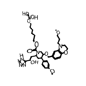 COCCCN1CCOc2ccc(COC3CN(C(=O)OCCCCCCON(O)O)C(CC(O)c4nnn[nH]4)CC3c3ccc(OC)cc3)cc21